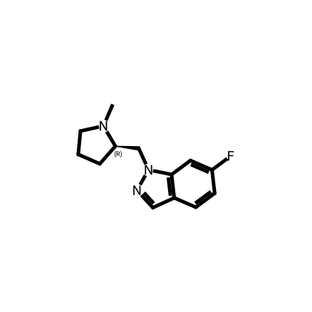 CN1CCC[C@@H]1Cn1ncc2ccc(F)cc21